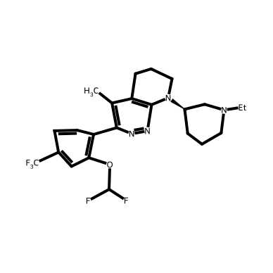 CCN1CCC[C@@H](N2CCCc3c2nnc(-c2ccc(C(F)(F)F)cc2OC(F)F)c3C)C1